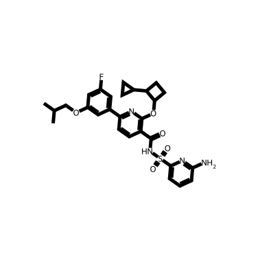 CC(C)COc1cc(F)cc(-c2ccc(C(=O)NS(=O)(=O)c3cccc(N)n3)c(OC3CCC3C3CC3)n2)c1